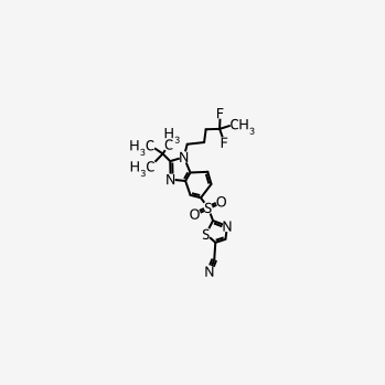 CC(F)(F)CCCn1c(C(C)(C)C)nc2cc(S(=O)(=O)c3ncc(C#N)s3)ccc21